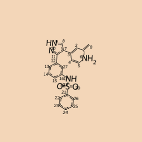 C=C/C=C(\C=C/N)c1c[nH]nc1-c1cccc(NS(=O)(=O)c2ccccc2)c1